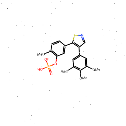 COc1ccc(-c2sncc2-c2cc(OC)c(OC)c(OC)c2)cc1OP(=O)(O)O